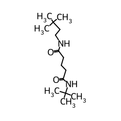 CC(C)(C)CCNC(=O)CCCC(=O)NC(C)(C)C